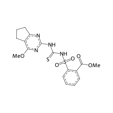 COC(=O)c1ccccc1S(=O)(=O)NC(=S)Nc1nc2c(c(OC)n1)CCC2